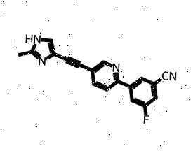 Cc1nc(C#Cc2ccc(-c3cc(F)cc(C#N)c3)nc2)c[nH]1